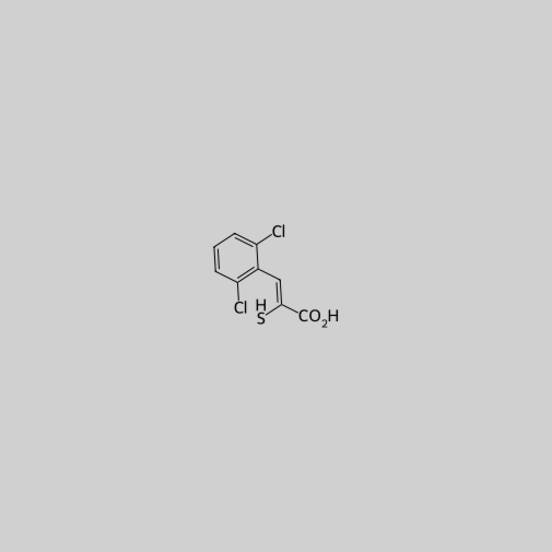 O=C(O)C(S)=Cc1c(Cl)cccc1Cl